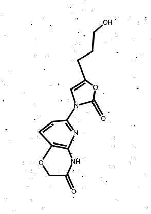 O=C1COc2ccc(-n3cc(CCCO)oc3=O)nc2N1